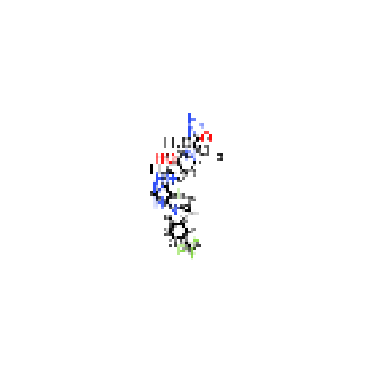 CC(C)(C(N)=O)N1CC[C@@H](CNc2ncnc(N(Cc3ccc(C(F)(F)F)cc3)C3CC3)c2F)[C@@](C)(O)C1